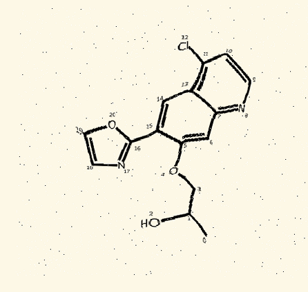 CC(O)COc1cc2nccc(Cl)c2cc1-c1ncco1